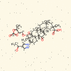 CC(=O)c1cnn([C@H]2CC[C@@]3(C)[C@@H](CC[C@]4(C)[C@@H]3C(=O)C=C3[C@@H]5C[C@@](C)(C(=O)O)CC[C@]5(C)CC[C@]34C)[C@]2(C)C(=O)OCc2oc(=O)oc2C)c1